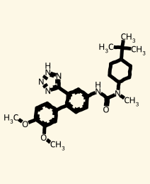 COc1ccc(-c2ccc(NC(=O)N(C)C3CCC(C(C)(C)C)CC3)cc2-c2nn[nH]n2)cc1OC